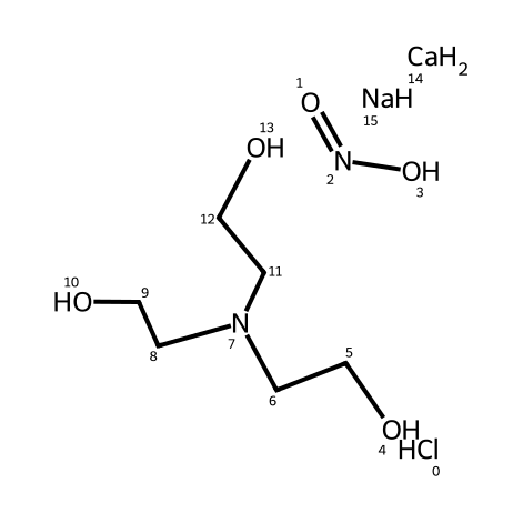 Cl.O=NO.OCCN(CCO)CCO.[CaH2].[NaH]